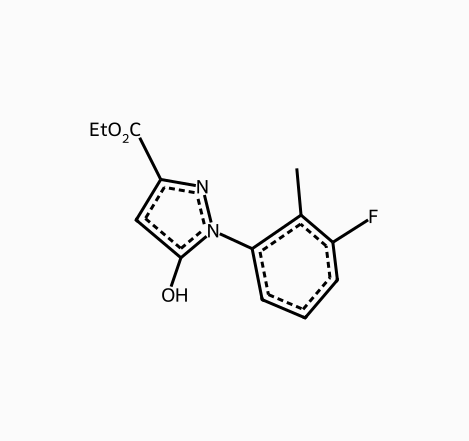 CCOC(=O)c1cc(O)n(-c2cccc(F)c2C)n1